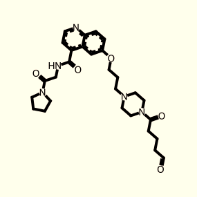 O=CCCCC(=O)N1CCN(CCCOc2ccc3nccc(C(=O)NCC(=O)N4CCCC4)c3c2)CC1